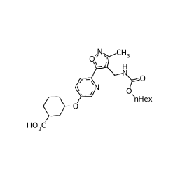 CCCCCCOC(=O)NCc1c(C)noc1-c1ccc(OC2CCCC(C(=O)O)C2)cn1